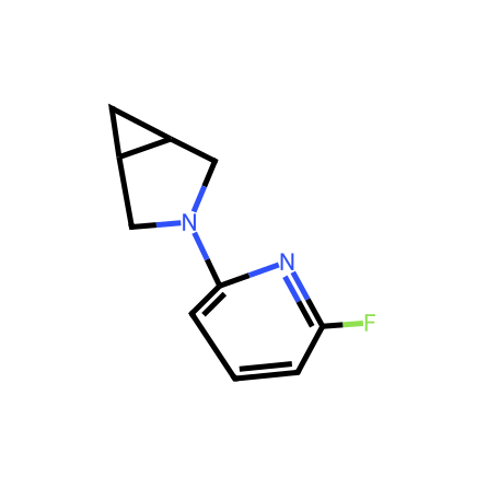 Fc1cccc(N2CC3CC3C2)n1